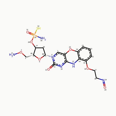 NOC[C@H]1O[C@@H](n2cc3c(nc2=O)Nc2c(OCCN=O)cccc2O3)CC1OP(N)(=O)S